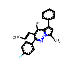 Cc1cc(-c2ccccc2)c2c(C(C)C)c(/C=C/C=O)c(-c3ccc(F)cc3)nn12